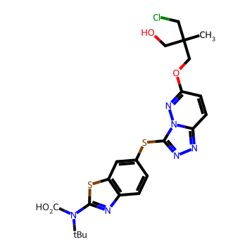 CC(CO)(CCl)COc1ccc2nnc(Sc3ccc4nc(N(C(=O)O)C(C)(C)C)sc4c3)n2n1